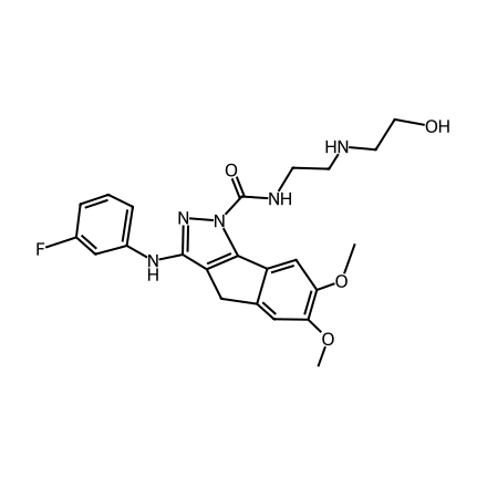 COc1cc2c(cc1OC)-c1c(c(Nc3cccc(F)c3)nn1C(=O)NCCNCCO)C2